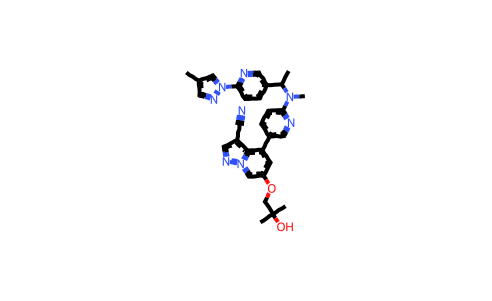 Cc1cnn(-c2ccc(C(C)N(C)c3ccc(-c4cc(OCC(C)(C)O)cn5ncc(C#N)c45)cn3)cn2)c1